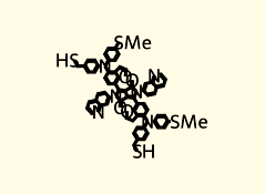 CSc1ccc(N(c2ccc(CS)cc2)c2ccc(C3=C4C(=O)N(c5ccc6cccnc6c5)C(c5ccc(N(c6ccc(CS)cc6)c6ccc(SC)cc6)c6ccoc56)=C4C(=O)N3c3ccc4cccnc4c3)c3c2CCO3)cc1